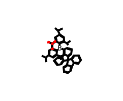 CC(C)c1cc(C(C)C)c(B(c2cccc3c2-c2ccccc2C32c3ccccc3-c3ccccc32)c2c(C(C)C)cc(C(C)C)cc2C(C)C)c(C(C)C)c1